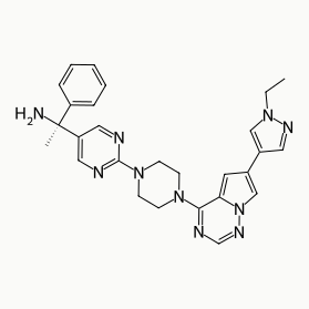 CCn1cc(-c2cc3c(N4CCN(c5ncc([C@@](C)(N)c6ccccc6)cn5)CC4)ncnn3c2)cn1